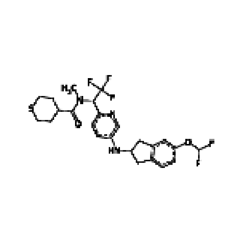 CN(C(=O)C1CCSCC1)[C@@H](c1ccc(NC2Cc3ccc(OC(F)F)cc3C2)cn1)C(F)(F)F